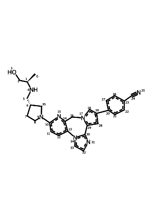 C[C@H](CO)NC[C@H]1CCN(c2ccc3c(n2)Cn2cc(-c4ccc(C#N)cc4)cc2-c2nccn2-3)C1